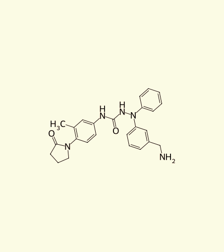 Cc1cc(NC(=O)NN(c2ccccc2)c2cccc(CN)c2)ccc1N1CCCC1=O